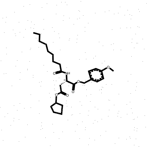 CCCCCCCCC(=O)N[C@@H](CC(=O)OC1CCCC1)C(=O)OCc1ccc(OC)cc1